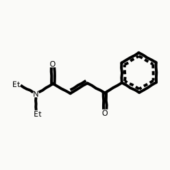 CCN(CC)C(=O)/C=C/C(=O)c1ccccc1